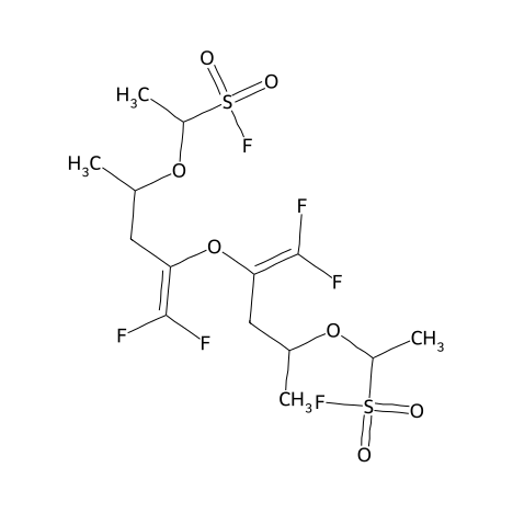 CC(CC(OC(CC(C)OC(C)S(=O)(=O)F)=C(F)F)=C(F)F)OC(C)S(=O)(=O)F